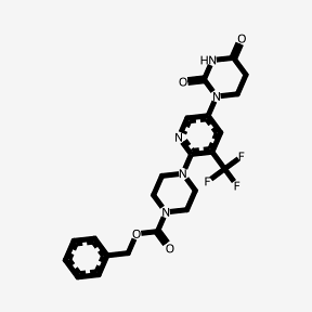 O=C1CCN(c2cnc(N3CCN(C(=O)OCc4ccccc4)CC3)c(C(F)(F)F)c2)C(=O)N1